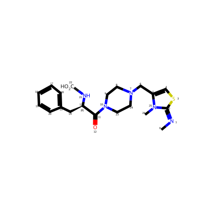 CN=c1scc(CN2CCN(C(=O)[C@@H](Cc3ccccc3)NC(=O)O)CC2)n1C